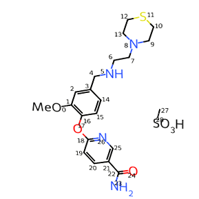 COc1cc(CNCCN2CCSCC2)ccc1Oc1ccc(C(N)=O)cn1.CS(=O)(=O)O